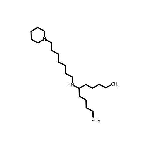 CCCCCC(CCCCC)NCCCCCCCN1CCCCC1